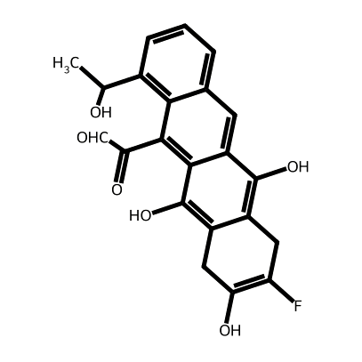 CC(O)c1cccc2cc3c(O)c4c(c(O)c3c(C(=O)C=O)c12)CC(O)=C(F)C4